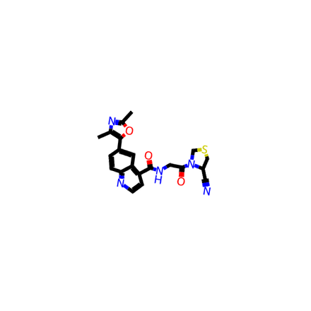 Cc1nc(C)c(-c2ccc3nccc(C(=O)NCC(=O)N4CSCC4C#N)c3c2)o1